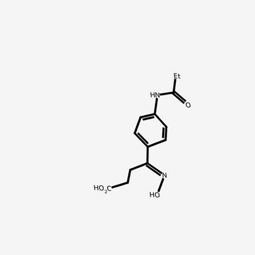 CCC(=O)Nc1ccc(C(CCC(=O)O)=NO)cc1